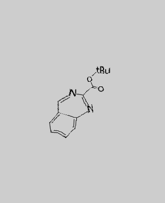 CC(C)(C)OC(=O)c1ncc2ccccc2n1